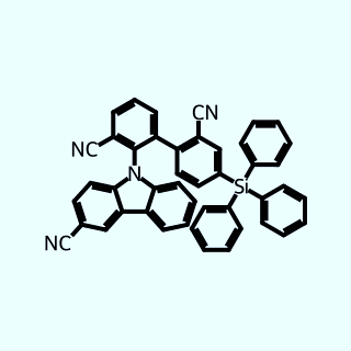 N#Cc1ccc2c(c1)c1ccccc1n2-c1c(C#N)cccc1-c1ccc([Si](c2ccccc2)(c2ccccc2)c2ccccc2)cc1C#N